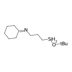 CC(C)(C)O[SiH2]CCCN=C1CCCCC1